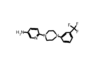 Nc1ccc(N2CCN(c3cccc(C(F)(F)F)c3)CC2)nc1